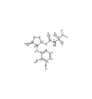 CC(C)S(=O)(=O)NC(=O)CC1CCC(=O)N1Cc1cccc(F)c1F